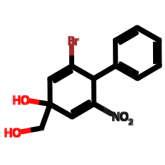 O=[N+]([O-])C1=CC(O)(CO)C=C(Br)C1c1ccccc1